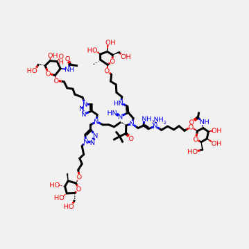 CC(=O)N[C@H]1[C@H](OCCCCCN(N)/C=C(\N)CN(C/C(=C/NCCCCCO[C@@H]2O[C@H](CO)[C@H](O)[C@H](O)[C@H]2C)N=N)[C@@H](CCCCN(Cc2cn(CCCCCO[C@@H]3O[C@H](CO)[C@H](O)[C@H](O)[C@H]3C)nn2)Cc2cn(CCCCCO[C@@H]3O[C@H](CO)[C@H](O)[C@H](O)[C@H]3NC(C)=O)nn2)C(=O)C(C)(C)C)O[C@H](CO)[C@H](O)[C@@H]1O